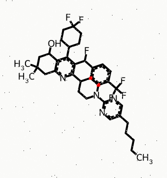 CCCCCc1cnc(N2CCC(c3nc4c(c(C5CCC(F)(F)CC5)c3C(F)c3ccc(C(F)(F)F)cc3)C(O)CC(C)(C)C4)CC2)nc1